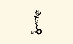 CC[SiH](CC)C(C)(C)COCCCc1ccccc1Br